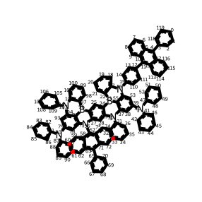 c1ccc(-c2c3ccccc3c(-c3ccc(N4c5ccccc5B5c6cc7c(cc6N(c6ccccc6)c6cc(N(c8ccccc8)c8ccccc8)cc4c65)N(c4c5ccccc5c(-c5ccccc5)c5ccccc45)c4cc(N(c5ccccc5)c5ccccc5)cc5c4B7c4ccccc4N5c4ccccc4)cc3)c3ccccc23)cc1